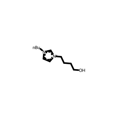 CCCCn1cc[n+](CCCCO)c1